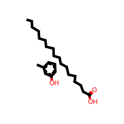 CCCCCCCCCCCCCCCCCC(=O)O.Cc1cccc(O)c1